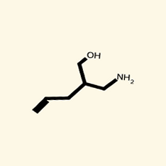 C=CCC(CN)CO